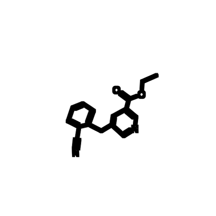 CCOC(=O)c1cncc(Cc2ccccc2C#N)c1